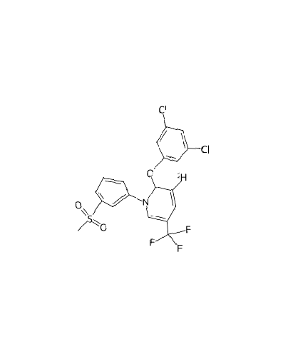 [2H]C1=CC(C(F)(F)F)=CN(c2cccc(S(C)(=O)=O)c2)C1Oc1cc(Cl)cc(Cl)c1